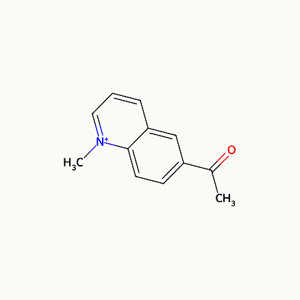 CC(=O)c1ccc2c(ccc[n+]2C)c1